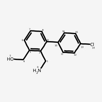 NCc1c(CO)cccc1-c1ccc(Cl)cc1